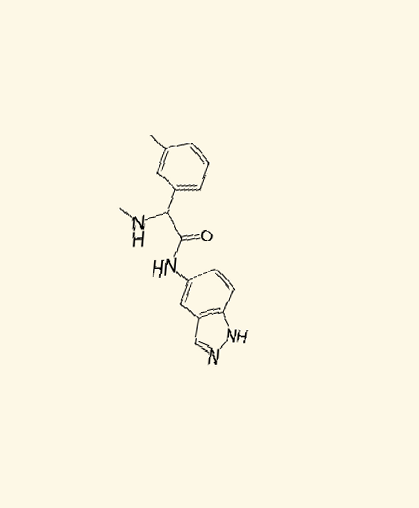 CNC(C(=O)Nc1ccc2[nH]ncc2c1)c1cccc(C)c1